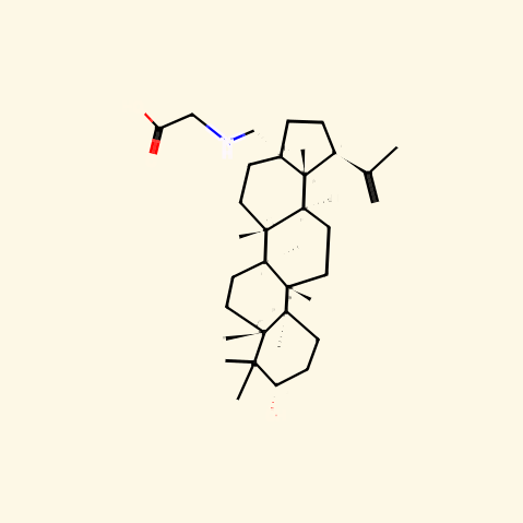 C=C(C)[C@@H]1CC[C@]2(CNCC(=O)O)CC[C@]3(C)[C@H](CC[C@@H]4[C@@]5(C)CC[C@H](O)C(C)(C)[C@@H]5CC[C@]43C)[C@@H]12